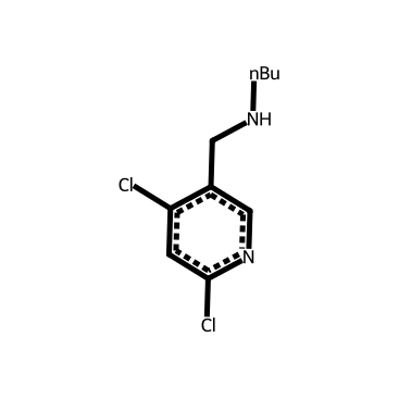 CCCCNCc1cnc(Cl)cc1Cl